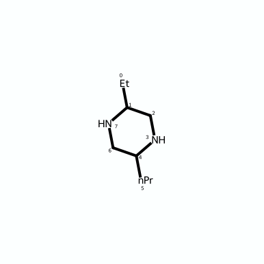 [CH2]CC1CNC(CCC)CN1